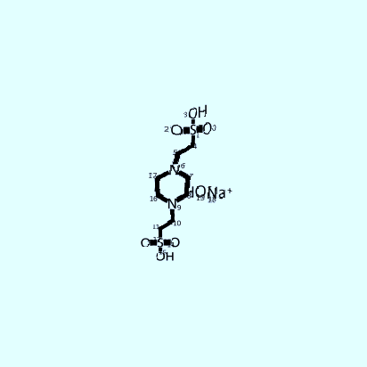 O=S(=O)(O)CCN1CCN(CCS(=O)(=O)O)CC1.[Na+].[OH-]